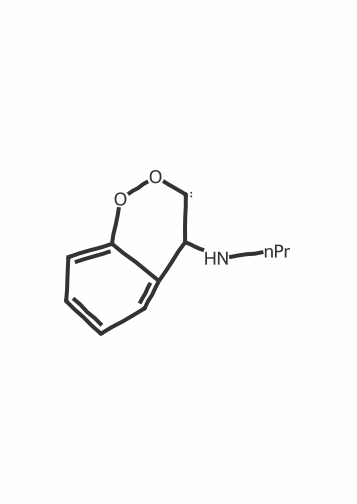 CCCNC1[C]OOc2ccccc21